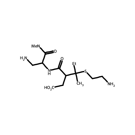 CCC(C)(SCCN)C(CC(=O)O)C(=O)NC(CN)C(=O)NC